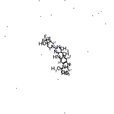 C=C/C(=N\C(=N/C)N1CCC(O)(C(F)(F)F)CC1)Nc1cc2c(cn1)nc(CO)n2C(C)C